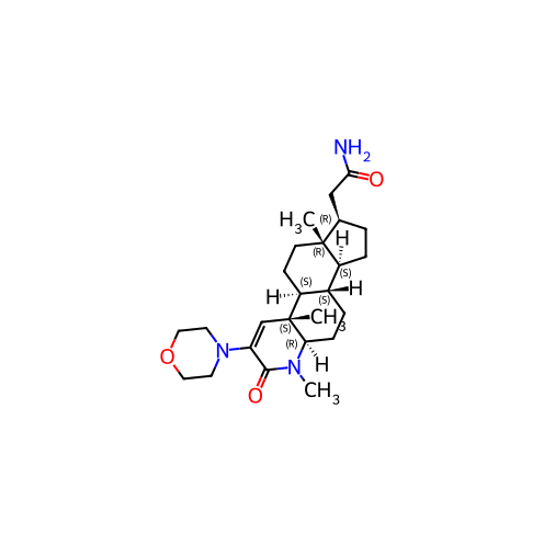 CN1C(=O)C(N2CCOCC2)=C[C@]2(C)[C@H]3CC[C@]4(C)[C@@H](CC(N)=O)CC[C@H]4[C@@H]3CC[C@@H]12